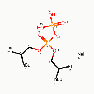 CCCCC(CC)COP(=O)(OCC(CC)CCCC)OP(=O)(O)O.[NaH]